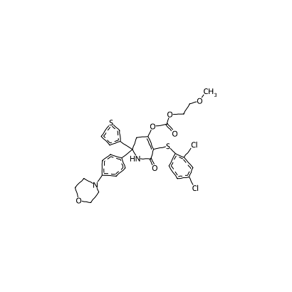 COCCOC(=O)OC1=C(Sc2ccc(Cl)cc2Cl)C(=O)NC(c2ccc(N3CCOCC3)cc2)(c2ccsc2)C1